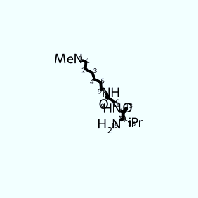 CNCCCCCCNC(=O)CNC(=O)[C@@H](N)C(C)C